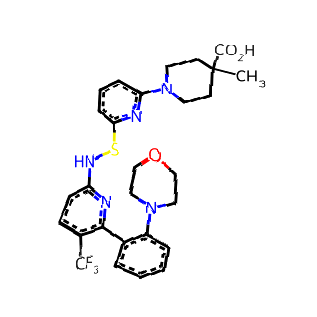 CC1(C(=O)O)CCN(c2cccc(SNc3ccc(C(F)(F)F)c(-c4ccccc4N4CCOCC4)n3)n2)CC1